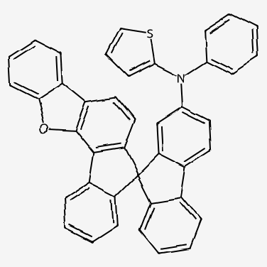 c1ccc(N(c2ccc3c(c2)C2(c4ccccc4-3)c3ccccc3-c3c2ccc2c3oc3ccccc32)c2cccs2)cc1